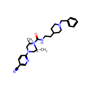 C[C@@H]1CN(c2ccc(C#N)cn2)C[C@@H](C)N1C(=O)NCCC1CCN(Cc2ccccc2)CC1